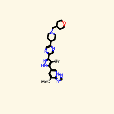 COc1cc(-c2[nH]nc(-c3cnc(C4CCN(CC5CCOCC5)CC4)cn3)c2C(C)C)cn2ncnc12